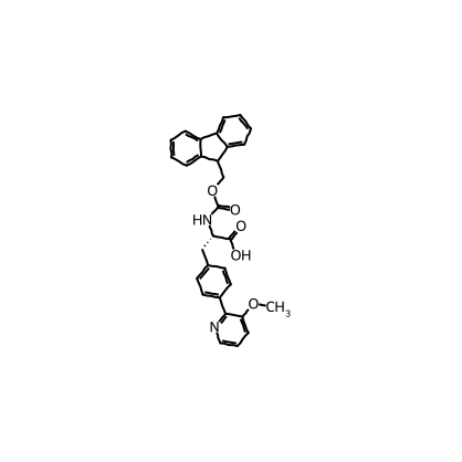 COc1cccnc1-c1ccc(C[C@H](NC(=O)OCC2c3ccccc3-c3ccccc32)C(=O)O)cc1